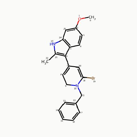 COc1ccc2c(C3=CCN(Cc4ccccc4)C(Br)=C3)c(C)[nH]c2c1